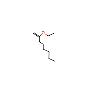 C=C(CCCCCC)OCC